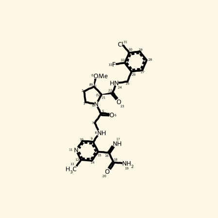 CO[C@@H]1CCN(C(=O)CNc2cnc(C)cc2C(=N)C(N)=O)[C@@H]1C(=O)NCc1cccc(Cl)c1F